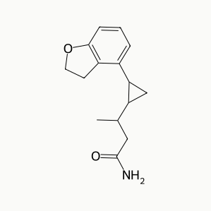 CC(CC(N)=O)C1CC1c1cccc2c1CCO2